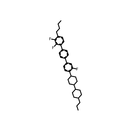 CCCCc1ccc(-c2ccc(-c3ccc(C4CCC(C5CCC(CCC)CC5)CC4)c(F)c3)cc2)c(F)c1F